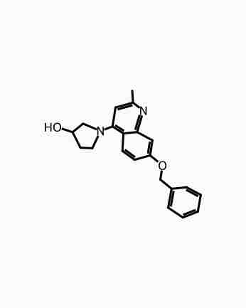 Cc1cc(N2CCC(O)C2)c2ccc(OCc3ccccc3)cc2n1